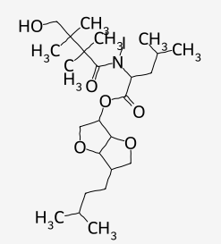 CC(C)CCC1COC2C(OC(=O)C(CC(C)C)N(I)C(=O)C(C)(C)C(C)(C)CO)COC12